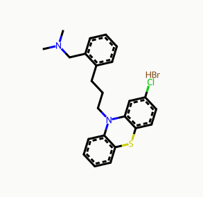 Br.CN(C)Cc1ccccc1CCCN1c2ccccc2Sc2ccc(Cl)cc21